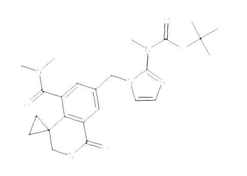 CN(C)C(=O)c1cc(Cn2ccnc2N(C)C(=O)OC(C)(C)C)cc2c1C1(CC1)CNC2=O